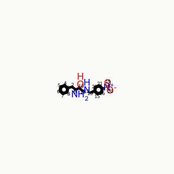 NC(Cc1ccccc1)C(O)CNCc1ccc([N+](=O)[O-])cc1